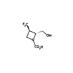 O=C(O)N1C[C@@H](C(F)(F)F)[C@@H]1CO